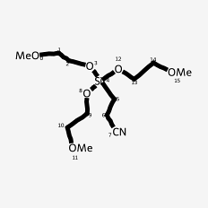 COCCO[Si](CCC#N)(OCCOC)OCCOC